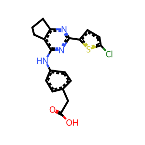 O=C(O)Cc1ccc(Nc2nc(-c3ccc(Cl)s3)nc3c2CCC3)cc1